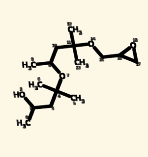 CC(O)CC(C)(C)OC(C)CC(C)(C)OCC1CO1